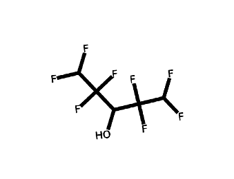 OC(C(F)(F)C(F)F)C(F)(F)C(F)F